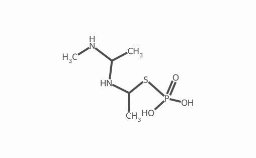 CNC(C)NC(C)SP(=O)(O)O